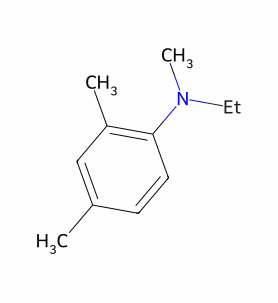 [CH2]CN(C)c1ccc(C)cc1C